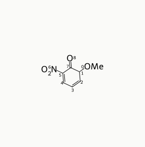 COC1C=CC=C([N+](=O)[O-])C1=O